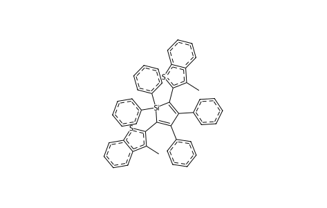 Cc1c(C2=C(c3ccccc3)C(c3ccccc3)=C(c3sc4ccccc4c3C)[Si]2(c2ccccc2)c2ccccc2)sc2ccccc12